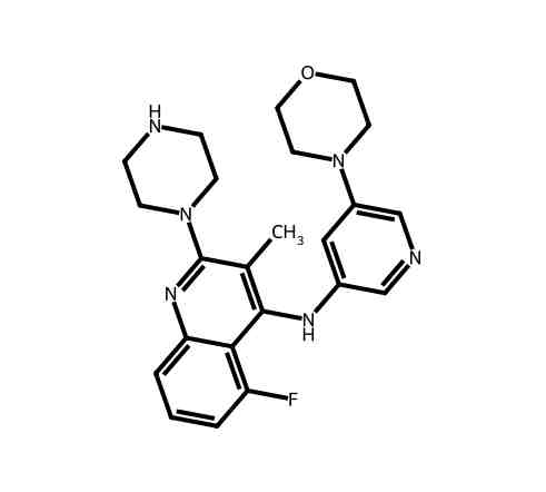 Cc1c(N2CCNCC2)nc2cccc(F)c2c1Nc1cncc(N2CCOCC2)c1